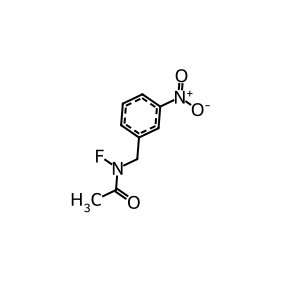 CC(=O)N(F)Cc1cccc([N+](=O)[O-])c1